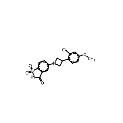 COc1ccc(C2CN(c3ccc4c(c3)C(=O)NS4(=O)=O)C2)c(Cl)c1